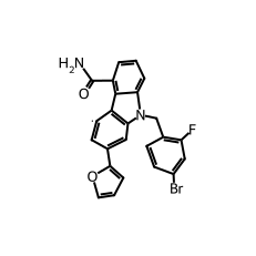 NC(=O)c1cccc2c1c1[c]cc(-c3ccco3)cc1n2Cc1ccc(Br)cc1F